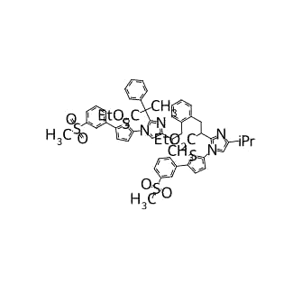 CCOC(=O)C(Cc1ccccc1CC(C)c1cn(-c2ccc(-c3cccc(S(C)(=O)=O)c3)s2)c(C(C)(C(=O)OCC)c2ccccc2)n1)c1nc(C(C)C)cn1-c1ccc(-c2cccc(S(C)(=O)=O)c2)s1